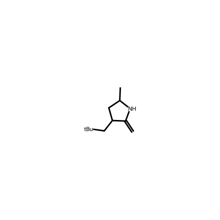 C=C1NC(C)CC1CC(C)(C)C